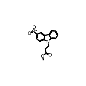 COC(=O)CCn1c2ccccc2c2cc([N+](=O)[O-])ccc21